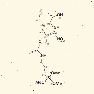 C=C(NCCC[Si](OC)(OC)OC)OCc1cc(CO)c(CO)cc1[N+](=O)[O-]